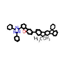 CC1(C)c2cc(-c3ccc4oc5c(-c6nc(C7=CCCC=C7)nc(-c7ccccc7)n6)cccc5c4c3)ccc2-c2cc3c(cc21)-c1ccccc1C31CCCCC1